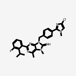 Cc1nc(-c2cccc(F)c2C(C)C)nc2c1n(C)c(=N)n2Cc1ccc(-c2nc(Cl)cn2C)cc1